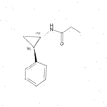 CCC(=O)N[C@H]1C[C@@H]1c1ccccc1